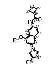 CCOc1cc(-n2cnc(Cl)c2)nc2ccc(NC(=O)C3COC3)cc12